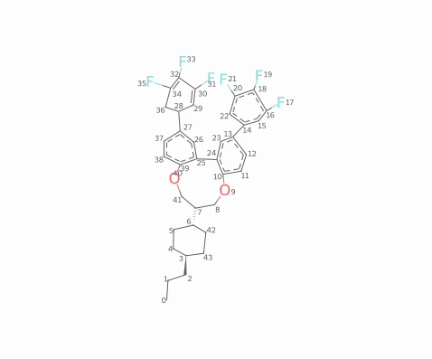 CCC[C@H]1CC[C@H](C2COc3ccc(-c4cc(F)c(F)c(F)c4)cc3-c3cc(C4C=C(F)C(F)=C(F)C4)ccc3OC2)CC1